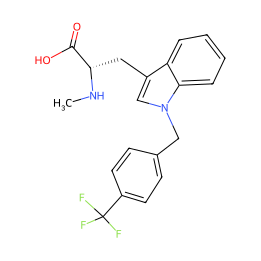 CN[C@@H](Cc1cn(Cc2ccc(C(F)(F)F)cc2)c2ccccc12)C(=O)O